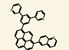 c1cncc(-c2cc(-c3cccnc3)cc(-c3ccc4ccc5ccc(-c6ccc7ncccc7c6)c6ccc3c4c56)c2)c1